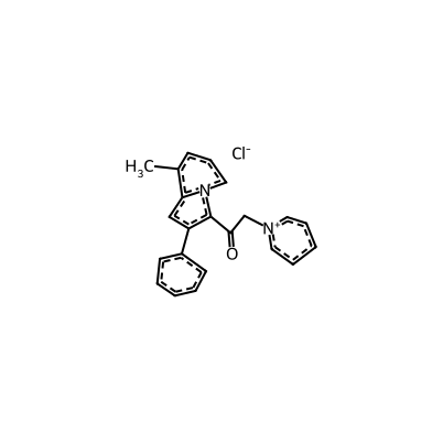 Cc1cccn2c(C(=O)C[n+]3ccccc3)c(-c3ccccc3)cc12.[Cl-]